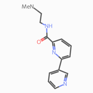 CNCCNC(=O)c1cccc(-c2cccnc2)n1